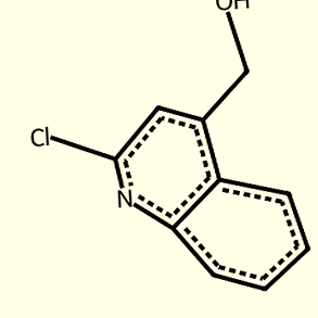 OCc1cc(Cl)nc2ccccc12